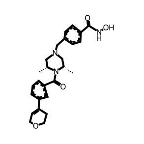 C[C@@H]1CN(Cc2ccc(C(=O)NO)cc2)C[C@H](C)N1C(=O)c1cccc(C2=CCOCC2)c1